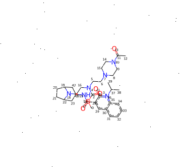 COC(=O)N(CCN1CCN(C(C)=O)CC1)CCN1C2CCC1CC(NC(=O)c1cc3ccccc3n(C(C)C)c1=O)C2